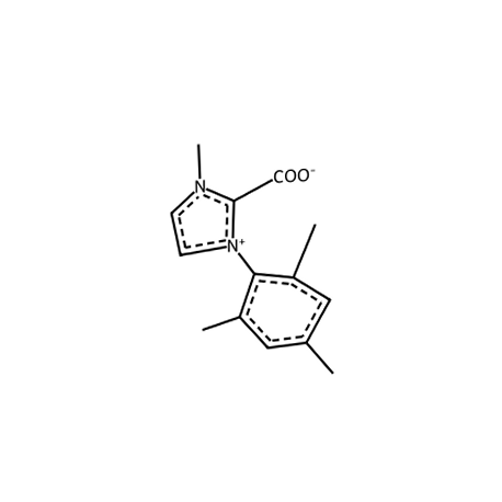 Cc1cc(C)c(-[n+]2ccn(C)c2C(=O)[O-])c(C)c1